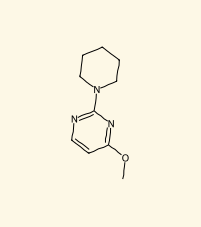 COc1ccnc(N2CCCCC2)n1